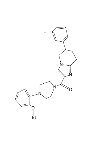 CCOc1ccccc1N1CCN(C(=O)c2cn3c(n2)CCC(c2cccc(C)c2)C3)CC1